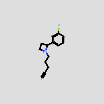 C#CCCCN1CCC1c1cccc(F)c1